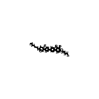 CCCCCCCC1CCC(c2ccc(-c3ccc(-c4ccc(OCCCCC)c(F)c4F)cc3)cc2F)CO1